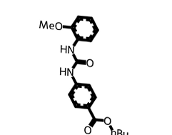 CCCCOC(=O)c1ccc(NC(=O)Nc2ccccc2OC)cc1